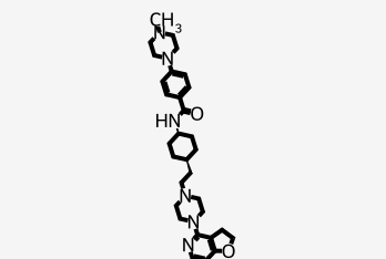 CN1CCN(c2ccc(C(=O)N[C@H]3CC[C@H](CCN4CCN(c5nccc6c5CCO6)CC4)CC3)cc2)CC1